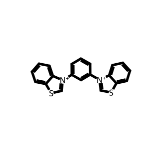 c1cc(-[n+]2csc3ccccc32)cc(-[n+]2csc3ccccc32)c1